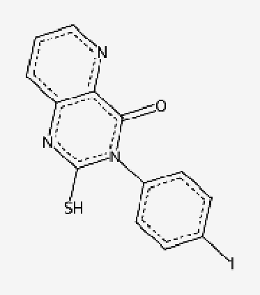 O=c1c2ncccc2nc(S)n1-c1ccc(I)cc1